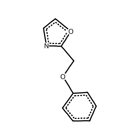 c1ccc(OCc2ncco2)cc1